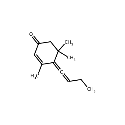 CCC=C=C1C(C)=CC(=O)CC1(C)C